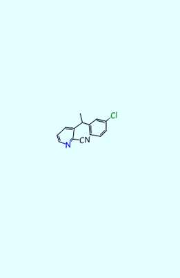 CC(c1cccc(Cl)c1)c1cccnc1C#N